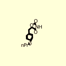 CCCOc1ccc(CC2OC(=O)NC2=O)cc1